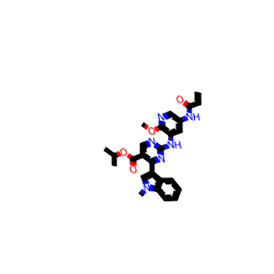 C=CC(=O)Nc1cnc(OC)c(Nc2ncc(C(=O)OC(C)C)c(-c3cn(C)c4ccccc34)n2)c1